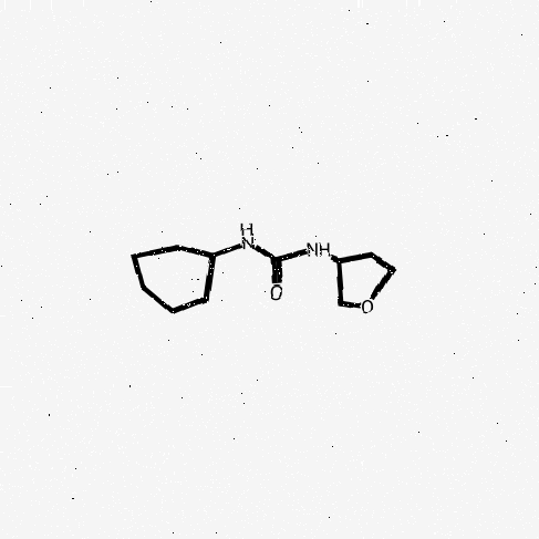 O=C(NC1CCCCC1)NC1CCOC1